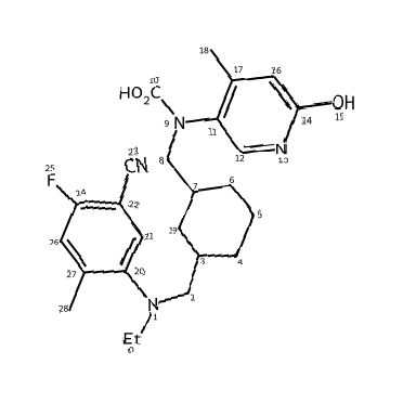 CCN(CC1CCCC(CN(C(=O)O)c2cnc(O)cc2C)C1)c1cc(C#N)c(F)cc1C